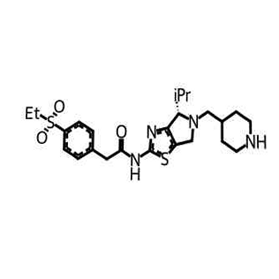 CCS(=O)(=O)c1ccc(CC(=O)Nc2nc3c(s2)CN(CC2CCNCC2)[C@H]3C(C)C)cc1